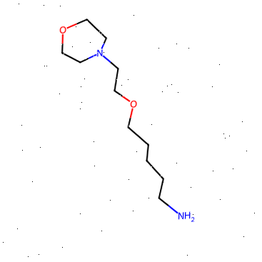 NCCCCCOCCN1CCOCC1